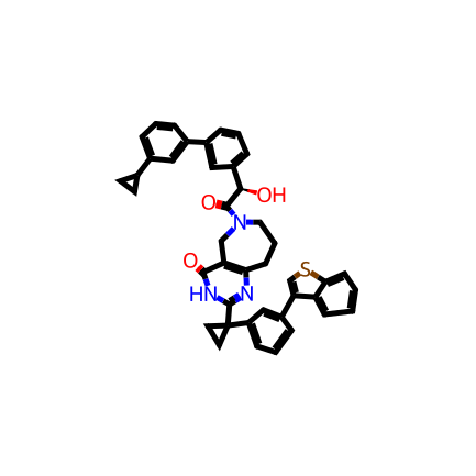 O=C([C@H](O)c1cccc(-c2cccc(C3CC3)c2)c1)N1CCCc2nc(C3(c4cccc(-c5csc6ccccc56)c4)CC3)[nH]c(=O)c2C1